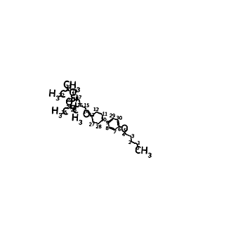 CCCCCOc1ccc([C@H]2CC[C@H](OCCC[SiH](OC(C)C)OC(C)C)CC2)cc1